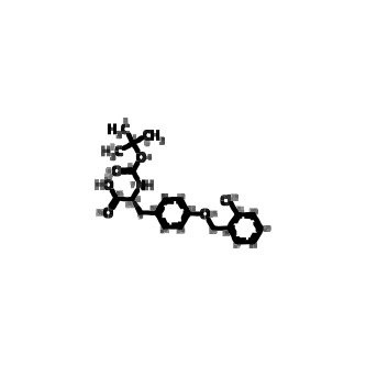 CC(C)(C)OC(=O)N[C@@H](Cc1ccc(OCc2ccccc2Cl)cc1)C(=O)O